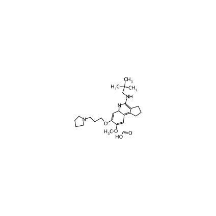 COc1cc2c3c(c(NCC(C)(C)C)nc2cc1OCCCN1CCCC1)CCC3.O=CO